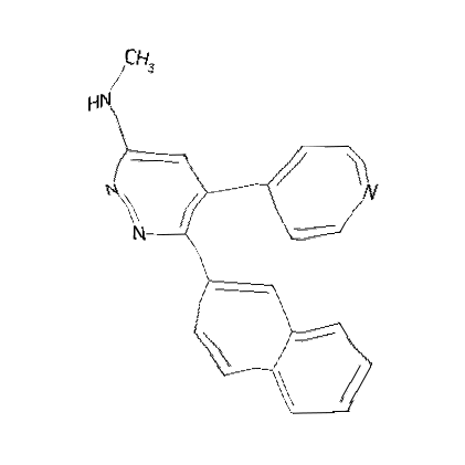 CNc1cc(-c2ccncc2)c(-c2ccc3ccccc3c2)nn1